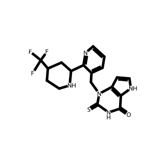 O=c1[nH]c(=S)n(Cc2cccnc2C2CC(C(F)(F)F)CCN2)c2cc[nH]c12